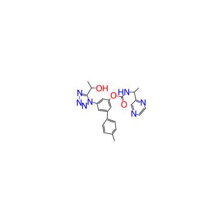 Cc1ccc(-c2cc(OC(=O)NC(C)c3cnccn3)cc(-n3nnnc3C(C)O)c2)cc1